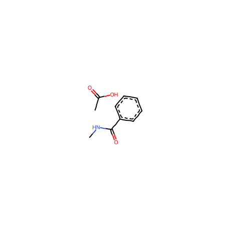 CC(=O)O.CNC(=O)c1ccccc1